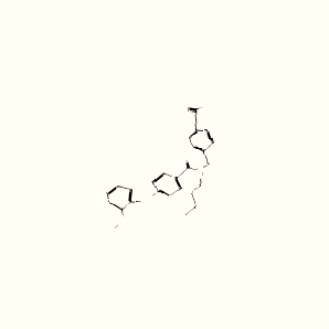 CCCCN(Cc1ccc(C(=O)O)cc1)C(=O)c1ccc(Oc2ccccc2OC)cc1